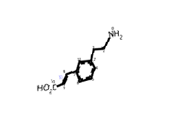 NCCc1cccc(/C=C/C(=O)O)c1